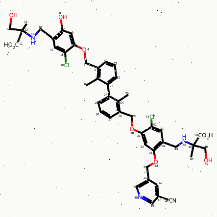 Cc1c(COc2cc(O)c(CNC(C)(CO)C(=O)O)cc2Cl)cccc1-c1cccc(COc2cc(OCc3cncc(C#N)c3)c(CNC(C)(CO)C(=O)O)cc2Cl)c1C